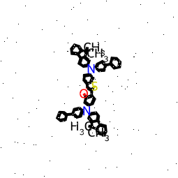 CC1(C)c2ccccc2-c2ccc(N(c3ccc(-c4ccccc4)cc3)c3ccc4c(c3)oc3c5ccc(N(c6ccc(-c7ccccc7)cc6)c6ccc7c(c6)C(C)(C)c6ccccc6-7)cc5sc43)cc21